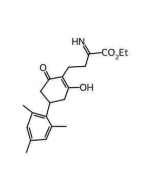 CCOC(=O)C(=N)CCC1=C(O)CC(c2c(C)cc(C)cc2C)CC1=O